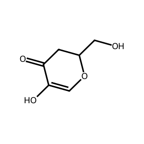 O=C1CC(CO)OC=C1O